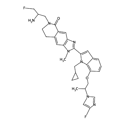 CC(COc1cccc2cc(-c3nc4cc5c(cc4n3C)CCN(CC(N)CF)C5=O)n(CC3CC3)c12)n1cnc(F)c1